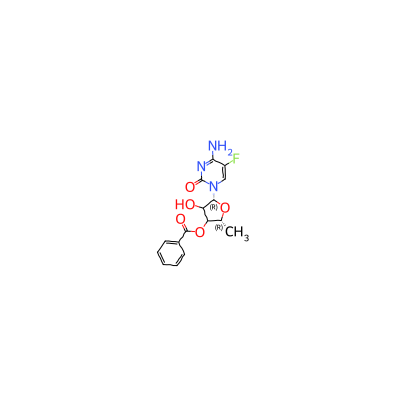 C[C@H]1O[C@@H](n2cc(F)c(N)nc2=O)C(O)C1OC(=O)c1ccccc1